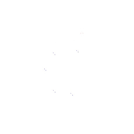 COCc1noc(-c2ncn3c2CN(C)C(=O)c2cc(C)ccc2-3)n1